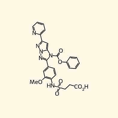 COc1cc(-c2nn3nc(-c4ccccn4)cc3n2C(=O)Oc2ccccc2)ccc1NS(=O)(=O)CCC(=O)O